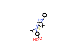 CC(C)CN(c1ccc(C(=O)O)cc1)c1nc2c(s1)C(C)(C)CC(NCc1ccccc1)C2(C)C